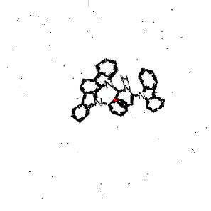 C1=CC(n2c3ccccc3c3ccc4c5ccccc5n(-c5ccccc5)c4c32)NC(n2c3ccccc3c3ccccc32)=C1